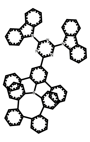 c1ccc(-c2cc(-c3nc(-n4c5ccccc5c5ccccc54)nc(-n4c5ccccc5c5ccccc54)n3)cc(-c3ccccc3)c2B2c3ccccc3-c3ccccc3-c3ccccc3-c3ccccc32)cc1